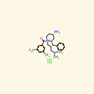 CN(C)CCC[N+]1(C(=O)c2cc(C(F)(F)F)cc(C(F)(F)F)c2)CC[C@H](N)C[C@H]1Cc1ccccc1.Cl.Cl